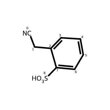 N#CCc1ccccc1S(=O)(=O)O